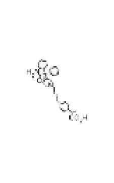 CC(C(=O)O)c1ccc(CCCCN2CC[C@@H](C(C(N)=O)(c3ccccc3)c3ccccc3)C2)cc1